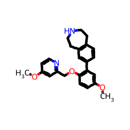 COc1ccnc(COc2ccc(OC)cc2-c2ccc3c(c2)CCNCC3)c1